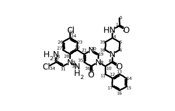 CC(=O)NC1CCN(C(=O)C(Cc2ccccc2)n2cnc(-c3cc(Cl)ccc3N(N)/C=C(\N)Cl)cc2=O)CC1